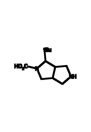 CC(C)(C)C1C2CNCC2CN1C(=O)O